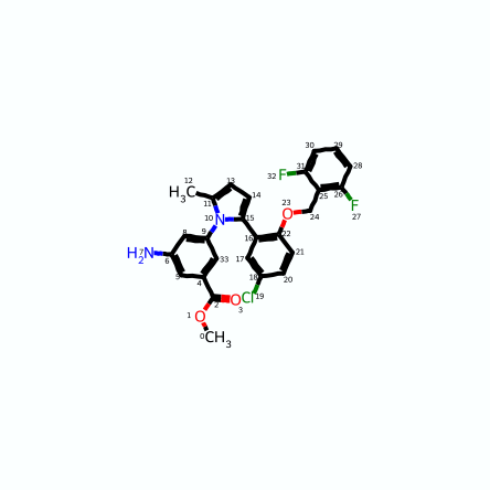 COC(=O)c1cc(N)cc(-n2c(C)ccc2-c2cc(Cl)ccc2OCc2c(F)cccc2F)c1